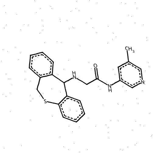 Cc1cncc(NC(=O)CNC2c3ccccc3CSc3ccccc32)c1